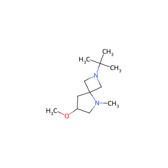 COC1CN(C)C2(C1)CN(C(C)(C)C)C2